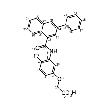 O=C(O)COc1ccc(F)c(NC(=O)c2cc(-c3ccccc3)cc3ccccc23)c1